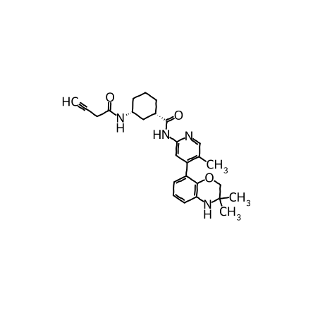 C#CCC(=O)N[C@@H]1CCC[C@H](C(=O)Nc2cc(-c3cccc4c3OCC(C)(C)N4)c(C)cn2)C1